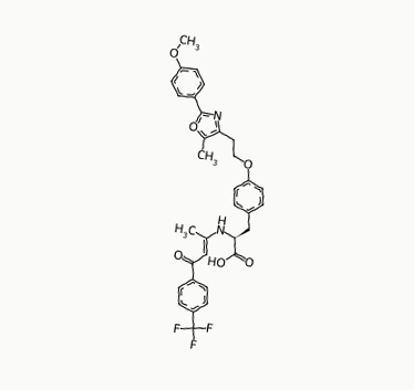 COc1ccc(-c2nc(CCOc3ccc(C[C@H](NC(C)=CC(=O)c4ccc(C(F)(F)F)cc4)C(=O)O)cc3)c(C)o2)cc1